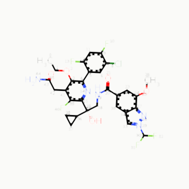 CCOc1c(-c2cc(Cl)c(F)cc2F)nc([C@@](O)(CNC(=O)c2cc(OC)c3nn(C(F)F)cc3c2)C2CC2)c(F)c1CC(N)=O